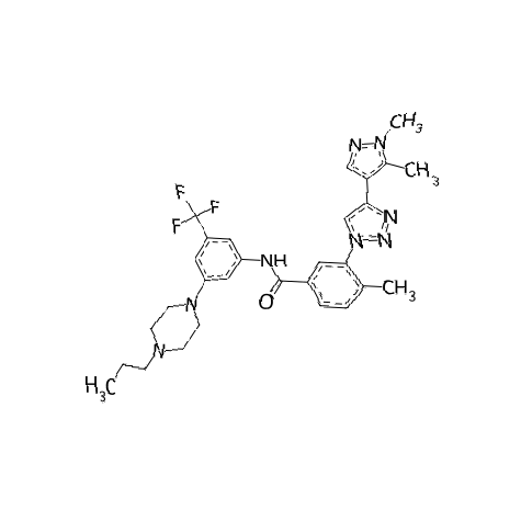 CCCN1CCN(c2cc(NC(=O)c3ccc(C)c(-n4cc(-c5cnn(C)c5C)nn4)c3)cc(C(F)(F)F)c2)CC1